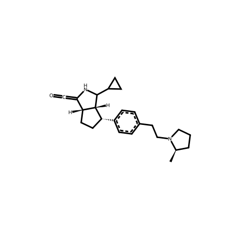 C[C@@H]1CCCN1CCc1ccc([C@@H]2CC[C@@H]3C(=C=O)NC(C4CC4)[C@@H]32)cc1